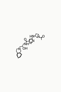 CC(=O)N1CC[C@H](Nc2cc(C(=O)NCC(O)CN3CCc4ccccc4C3)ncn2)C1